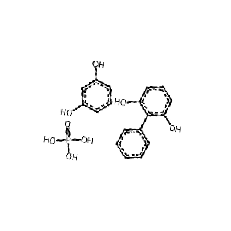 O=P(O)(O)O.Oc1cccc(O)c1.Oc1cccc(O)c1-c1ccccc1